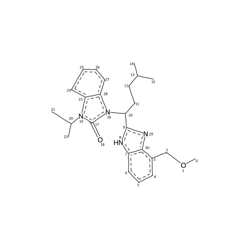 COCc1cccc2[nH]c(C(CCC(C)C)n3c(=O)n(C(C)C)c4ccccc43)nc12